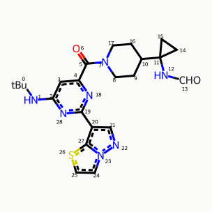 CC(C)(C)Nc1cc(C(=O)N2CCC(C3(NC=O)CC3)CC2)nc(-c2cnn3ccsc23)n1